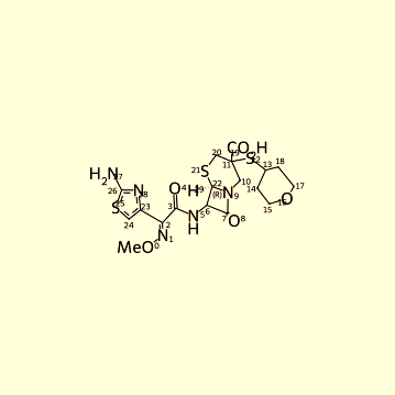 CON=C(C(=O)NC1C(=O)N2CC(SC3CCOCC3)(C(=O)O)CS[C@H]12)c1csc(N)n1